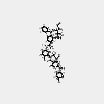 CCC(C)[C@H]1N=C(c2ccccc2)c2ccc(C(=O)Nc3ccc(C)c(N4Cc5cnc(Nc6ccc(C)nc6)nc5N(C)C4=O)c3)cc2NC1=O